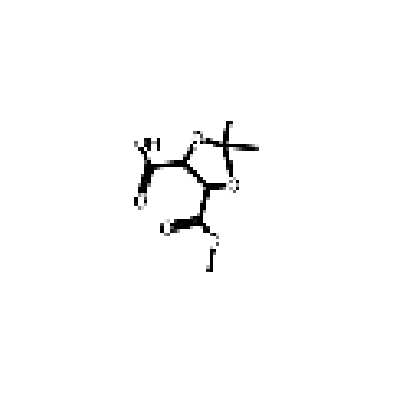 COC(=O)C1OC(C)(C)OC1C(=O)O